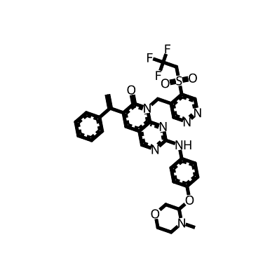 C=C(c1ccccc1)c1cc2cnc(Nc3ccc(OC4COCCN4C)cc3)nc2n(Cc2cnncc2S(=O)(=O)CC(F)(F)F)c1=O